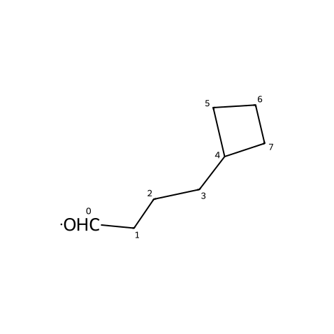 O=[C]CCCC1CCC1